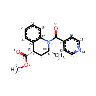 COC(=O)[C@H]1C[C@@H](C)N(C(=O)c2ccncc2)c2ccccc21